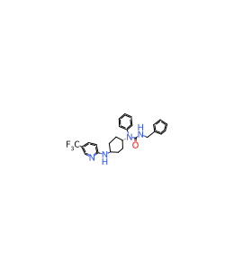 O=C(NCc1ccccc1)N(c1ccccc1)[C@H]1CC[C@H](Nc2ccc(C(F)(F)F)cn2)CC1